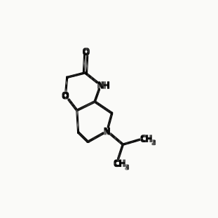 CC(C)N1CCC2OCC(=O)NC2C1